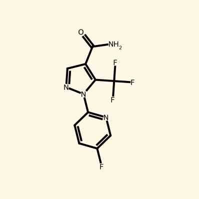 NC(=O)c1cnn(-c2ccc(F)cn2)c1C(F)(F)F